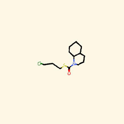 O=C(SCCCCl)N1CCCC2CCCCC21